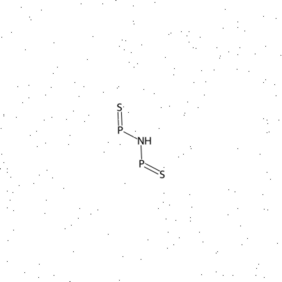 S=PNP=S